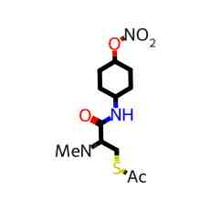 CNC(CSC(C)=O)C(=O)NC1CCC(O[N+](=O)[O-])CC1